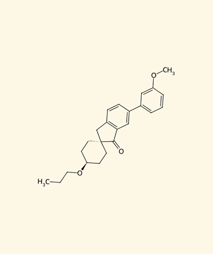 CCCO[C@H]1CC[C@]2(CC1)Cc1ccc(-c3cccc(OC)c3)cc1C2=O